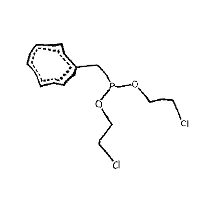 ClCCOP(Cc1ccccc1)OCCCl